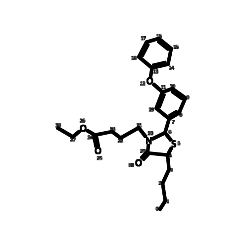 CCCCC1SC(c2cccc(Oc3ccccc3)c2)N(CCCC(=O)OCC)C1=O